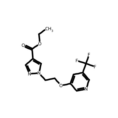 CCOC(=O)c1cnn(CCOc2cncc(C(F)(F)F)c2)c1